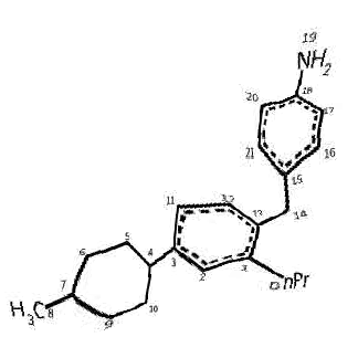 CCCc1cc(C2CCC(C)CC2)ccc1Cc1ccc(N)cc1